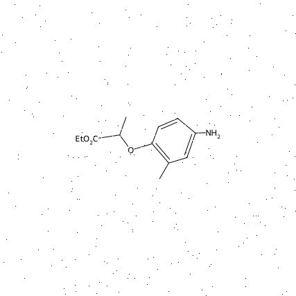 CCOC(=O)C(C)Oc1ccc(N)cc1C